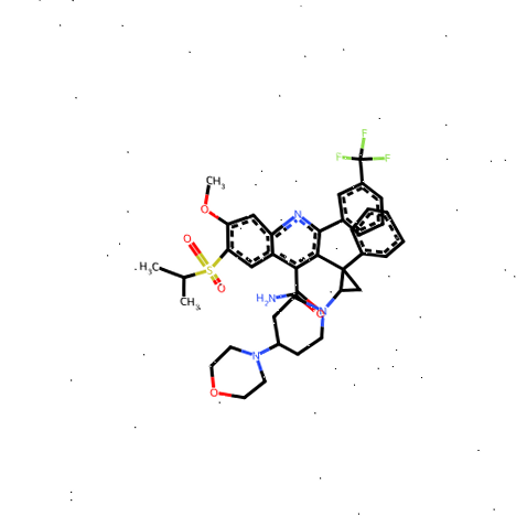 COc1cc2nc(-c3cccc(C(F)(F)F)c3)c(C3(c4ccccc4)CC3N3CCC(N4CCOCC4)CC3)c(C(N)=O)c2cc1S(=O)(=O)C(C)C